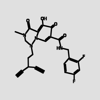 C#CC(C#C)CCN1CN(C)C(=O)c2c(O)c(=O)c(C(=O)NCc3ccc(F)cc3F)cn21